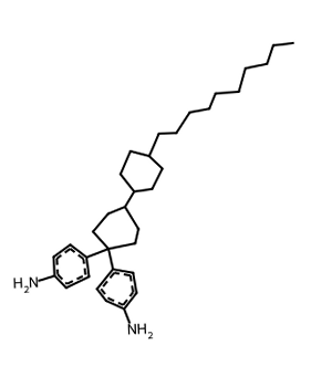 CCCCCCCCCCC1CCC(C2CCC(c3ccc(N)cc3)(c3ccc(N)cc3)CC2)CC1